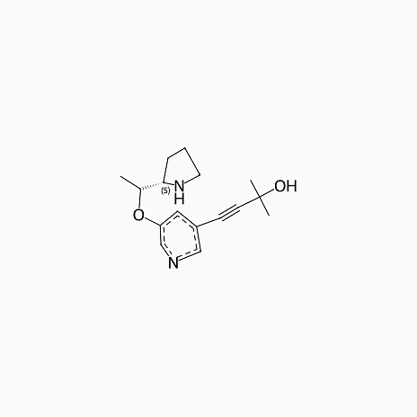 CC(Oc1cncc(C#CC(C)(C)O)c1)[C@@H]1CCCN1